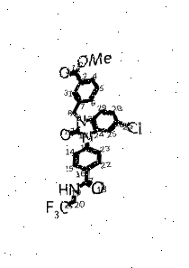 COC(=O)c1cccc(Cn2c(=O)n(-c3ccc(C(=O)NCC(F)(F)F)cc3)c3cc(Cl)ccc32)c1